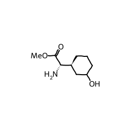 COC(=O)[C@@H](N)[C@H]1CCCC(O)C1